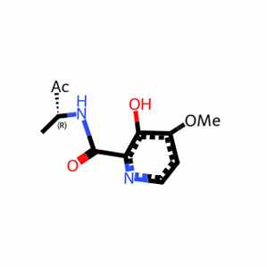 COc1ccnc(C(=O)N[C@H](C)C(C)=O)c1O